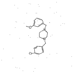 COc1cccc(CN2CCN(Cc3ccc(Cl)cc3)CC2)c1